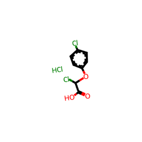 Cl.O=C(O)C(Cl)Oc1ccc(Cl)cc1